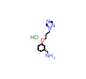 Cl.NCc1cccc(OCCCn2cncn2)c1